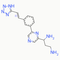 NCCC(N)c1cncc(-c2cccc(/C=C/c3nnn[nH]3)c2)n1